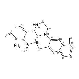 C=N/C(N)=C(\N=C/C)C(=O)NCc1cc2cccc(C)c2nc1N1CCNCC1